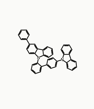 c1ccc(-c2ccc3c(c2)c2ccccc2n3-c2ccccc2-c2ccc(-n3c4ccccc4c4ccccc43)cc2)cc1